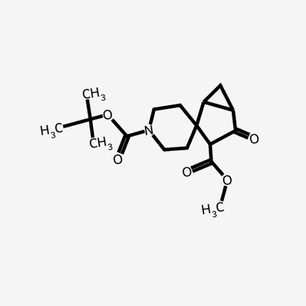 COC(=O)C1C(=O)C2CC2C12CCN(C(=O)OC(C)(C)C)CC2